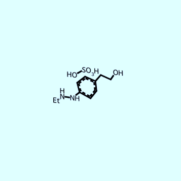 CCNNc1ccc(CCO)cc1.O=S(=O)(O)O